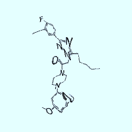 CCCCCc1nc(-c2ccc(F)c(C)c2)nn1CC(=O)N1CCN(c2cc(OC)ccn2)CC1